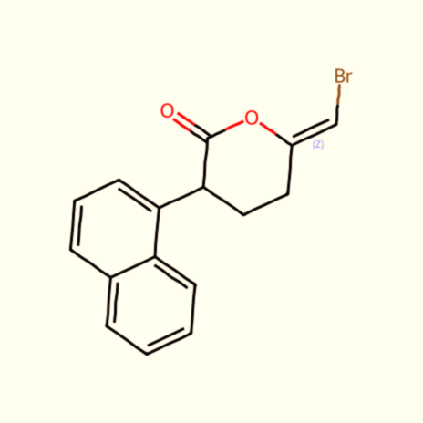 O=C1O/C(=C\Br)CCC1c1cccc2ccccc12